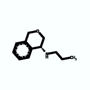 CCCN[C@H]1COCc2ccccc21